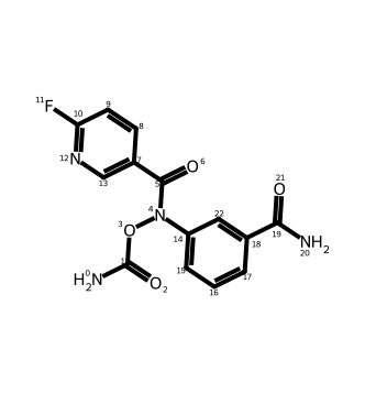 NC(=O)ON(C(=O)c1ccc(F)nc1)c1cccc(C(N)=O)c1